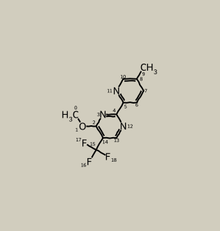 COc1nc(-c2ccc(C)cn2)ncc1C(F)(F)F